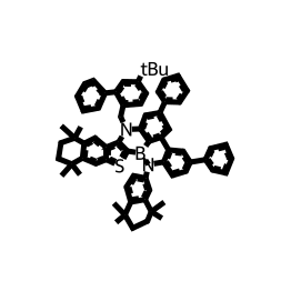 CC(C)(C)c1ccc(CN2c3cc(-c4ccccc4)cc4c3B(c3sc5cc6c(cc5c32)C(C)(C)CCC6(C)C)N(c2ccc3c(c2)C(C)(C)CCC3(C)C)c2ccc(-c3ccccc3)cc2-4)c(-c2ccccc2)c1